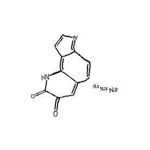 O=C1C=c2ccc3c(c2NC1=O)C=CN=3.[Na].[Na].[Na]